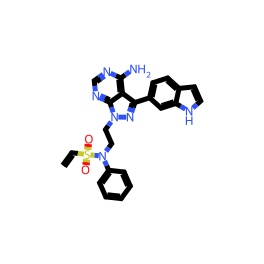 C=CS(=O)(=O)N(CCn1nc(-c2ccc3cc[nH]c3c2)c2c(N)ncnc21)c1ccccc1